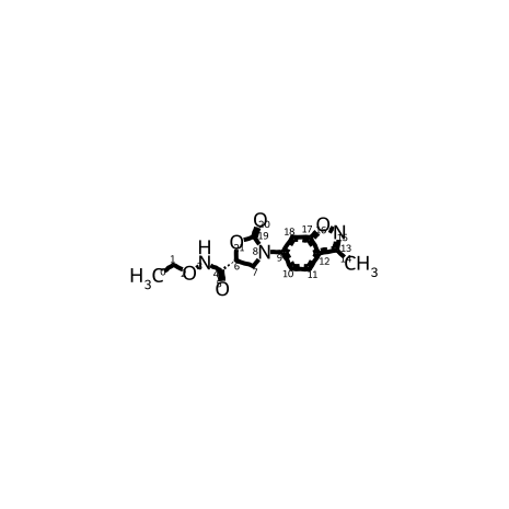 CCONC(=O)[C@H]1CN(c2ccc3c(C)noc3c2)C(=O)O1